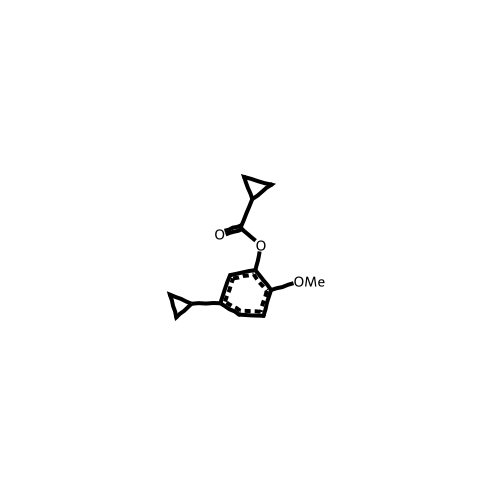 COc1ccc(C2CC2)cc1OC(=O)C1CC1